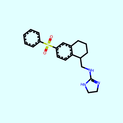 O=S(=O)(c1ccccc1)c1ccc2c(c1)CCCC2CNC1=NCCN1